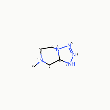 CN1CCN2N=NNC2C1